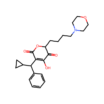 O=C1OC(CCCCN2CCOCC2)C(=O)C(O)=C1C(c1ccccc1)C1CC1